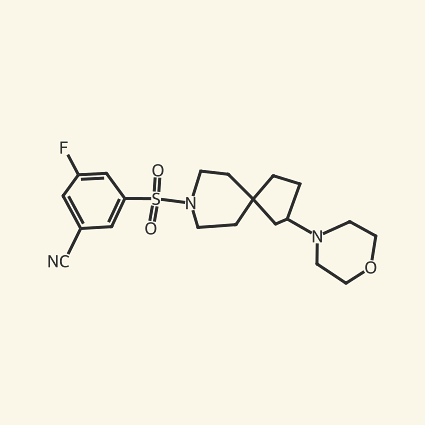 N#Cc1cc(F)cc(S(=O)(=O)N2CCC3(CCC(N4CCOCC4)C3)CC2)c1